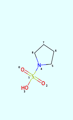 O=S(=O)(O)N1CCCC1